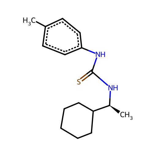 Cc1ccc(NC(=S)N[C@@H](C)C2CCCCC2)cc1